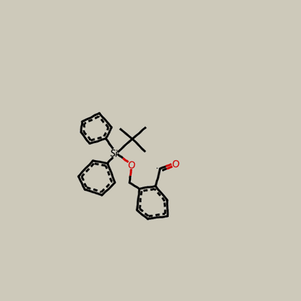 CC(C)(C)[Si](OCc1ccccc1[C]=O)(c1ccccc1)c1ccccc1